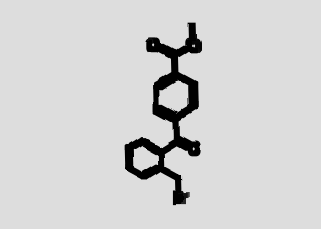 COC(=O)c1ccc(C(=O)c2ccccc2CBr)cc1